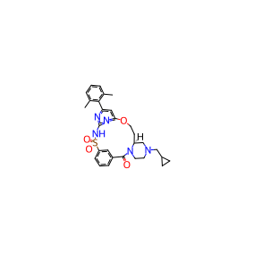 Cc1cccc(C)c1-c1cc2nc(n1)NS(=O)(=O)c1cccc(c1)C(=O)N1CCN(CC3CC3)C[C@@H]1CCO2